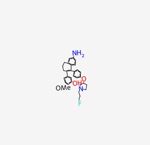 COc1ccc(C2=C(c3ccc(OC4CCN(CCCF)C4)cc3)c3ccc(N)cc3CCC2)cc1O